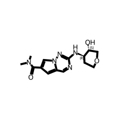 CN(C)C(=O)c1cc2cnc(N[C@@H]3CCOC[C@H]3O)nn2c1